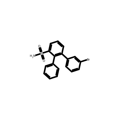 NS(=O)(=O)c1cccc(-c2cccc(Br)c2)c1-c1ccccc1